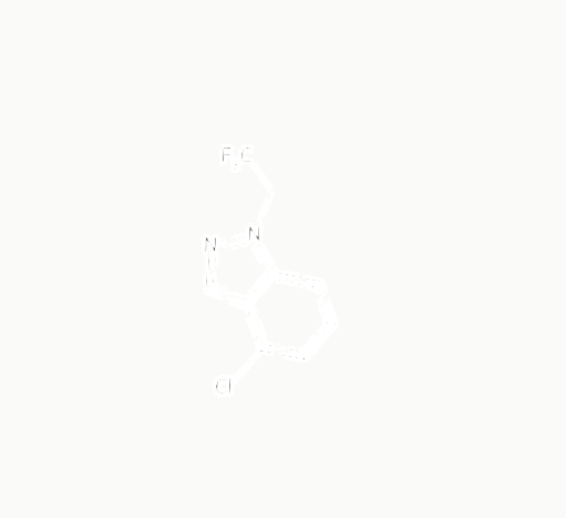 FC(F)(F)Cn1ncc2c(Cl)cccc21